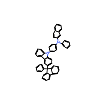 c1ccc(N(c2ccc(-n3c4ccccc4c4cc(C5(c6ccccc6)c6ccccc6-c6ccccc65)ccc43)cc2)c2ccc3ccccc3c2)cc1